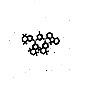 Cc1cc(N(C2=C3C(CCC2)C2=C(C=CCC2)C3(C)C)c2ccc3c(c2)C(C)(C)CCC3(C)C)cc(N(c2ccc3c(c2)C(C)(C)CCC3(C)C)c2ccc3c(c2)C(C)(C)CCC3(C)C)c1